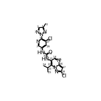 Cc1cnn(-c2ncc(NC(=O)Nc3cnc4cc(Cl)nn4c3C(C)C)cc2Cl)n1